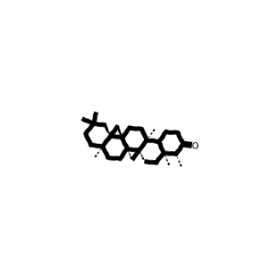 C[C@H]1C(=O)CCC2[C@]1(C)CC[C@]13C[C@@]14CC[C@@]1(C)CCC(C)(C)C[C@]15C[C@]54CC[C@@]23C